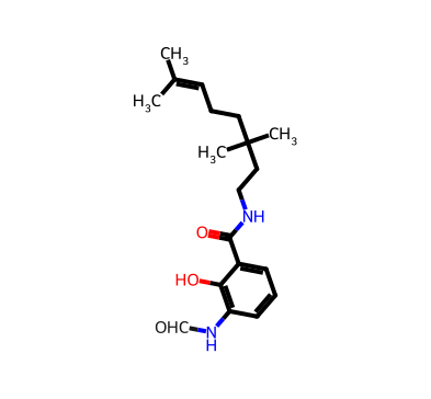 CC(C)=CCCC(C)(C)CCNC(=O)c1cccc(NC=O)c1O